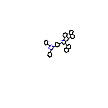 c1ccc(-c2cc(-c3ccc(-c4cc(-c5cccc6ccccc56)c5cc(-c6cccc7ccccc67)c6ccccc6c5n4)cc3)nc(-c3ccccc3)n2)cc1